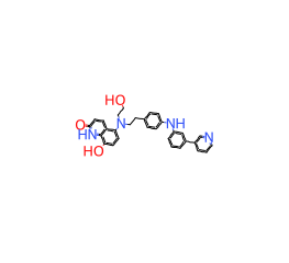 O=c1ccc2c(N(CCO)CCc3ccc(Nc4cccc(-c5cccnc5)c4)cc3)ccc(O)c2[nH]1